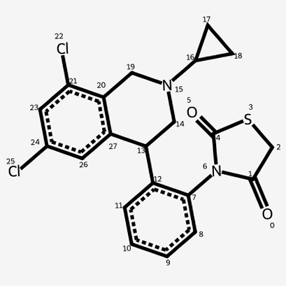 O=C1CSC(=O)N1c1ccccc1C1CN(C2CC2)Cc2c(Cl)cc(Cl)cc21